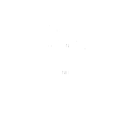 CC(C)(C)OC(=O)N1[C@@H](CNCc2ccccc2)COC1(C)C